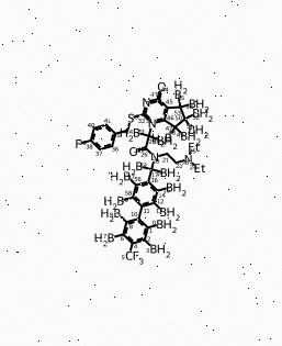 Bc1c(B)c(C(F)(F)F)c(B)c(B)c1-c1c(B)c(B)c(C(B)(B)N(CCN(CC)CC)C(=O)C(B)(B)n2c(SCc3ccc(F)cc3)nc(=O)c3c2C(B)(B)C(B)(B)C3(B)B)c(B)c1B